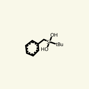 CC(C)(C)[Si](O)(O)Cc1ccccc1